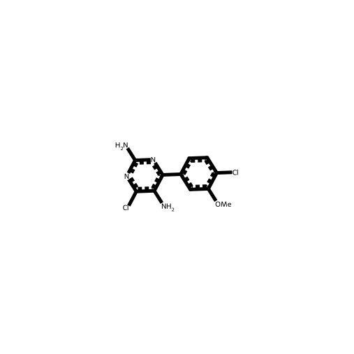 COc1cc(-c2nc(N)nc(Cl)c2N)ccc1Cl